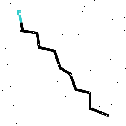 CCCCCCCCC[CH]F